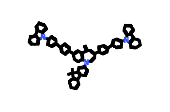 C=C1/C=C(c2ccc(-c3ccc(-n4c5c(c6ccccc64)CCC=C5)cc3)cc2)\C=C/N(c2ccc3c(c2)C(C)(C)C2=C3C=CCC2)C2=C1C=C(c1ccc(-c3ccc(-n4c5ccccc5c5ccccc54)cc3)cc1)CC2